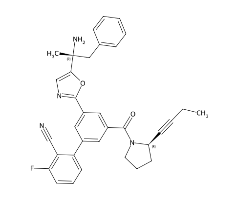 CCC#C[C@H]1CCCN1C(=O)c1cc(-c2ncc([C@](C)(N)Cc3ccccc3)o2)cc(-c2cccc(F)c2C#N)c1